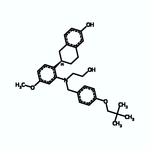 COc1ccc([C@@H]2CCc3cc(O)ccc3C2)c(N(CCO)Cc2ccc(OCC(C)(C)C)cc2)c1